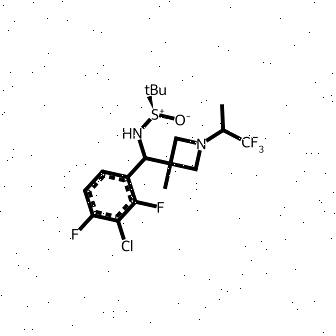 CC(N1CC(C)(C(N[S@+]([O-])C(C)(C)C)c2ccc(F)c(Cl)c2F)C1)C(F)(F)F